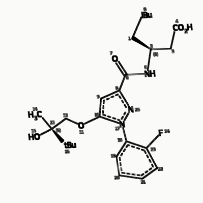 CCC(C)C[C@@H](CC(=O)O)NC(=O)c1cc(OC[C@@](C)(O)C(C)(C)C)n(-c2ccccc2F)n1